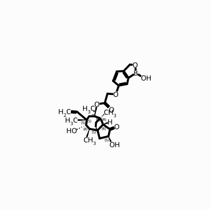 C=C[C@]1(C)C[C@@H](OC(=O)COc2ccc3c(c2)B(O)OC3)[C@]2(C)[C@H](C)CC[C@]3(C[C@H](O)C(=O)[C@H]32)[C@@H](C)[C@@H]1O